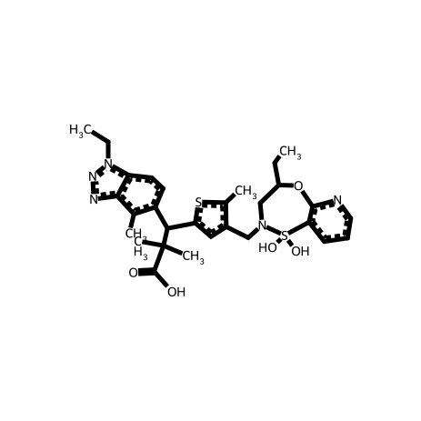 CCC1CN(Cc2cc(C(c3ccc4c(nnn4CC)c3C)C(C)(C)C(=O)O)sc2C)S(O)(O)c2cccnc2O1